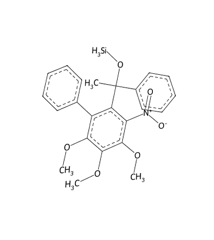 COc1c(OC)c(-c2ccccc2)c(C(C)(O[SiH3])c2ccccc2)c([N+](=O)[O-])c1OC